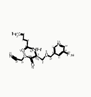 C=CCCC(=O)N[C@@H](COCc1cncc(F)c1)C(=O)OCC#N